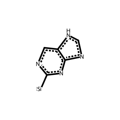 [Si]c1ncc2[nH]cnc2n1